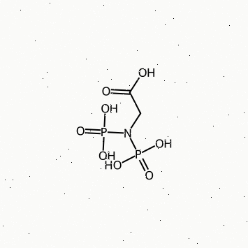 O=C(O)CN(P(=O)(O)O)P(=O)(O)O